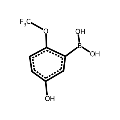 OB(O)c1cc(O)ccc1OC(F)(F)F